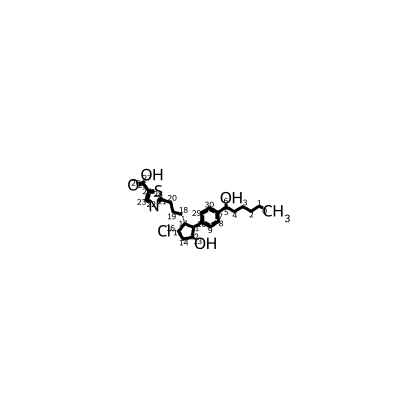 CCCCCC(O)c1ccc(C2[C@H](O)C[C@H](Cl)[C@@H]2CCCc2ncc(C(=O)O)s2)cc1